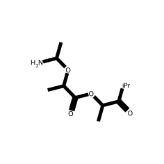 CC(N)OC(C)C(=O)OC(C)C(=O)C(C)C